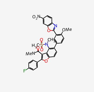 CNC(=O)c1c(-c2ccc(F)cc2)oc2ccc(-c3ccc(OC)c(-c4nc5ccc([N+](=O)[O-])cc5o4)c3)c(N(C)S(C)(=O)=O)c12